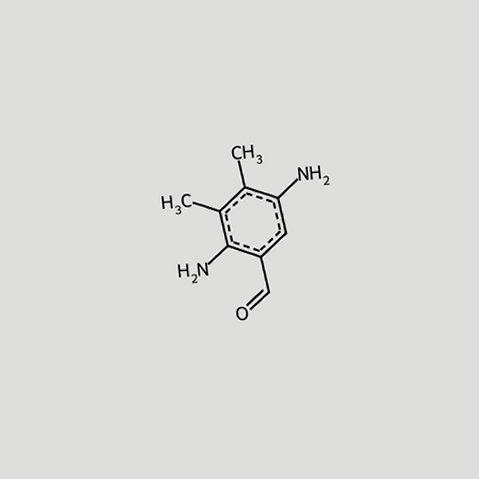 Cc1c(N)cc(C=O)c(N)c1C